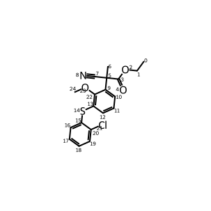 CCOC(=O)C(C)(C#N)c1cccc(Sc2ccccc2Cl)c1OC